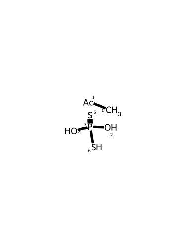 CC(C)=O.OP(O)(=S)S